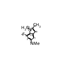 CNc1cc(F)c2c(c1)cc(C)n2C